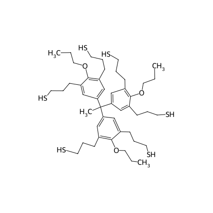 CCCOc1c(CCCS)cc(C(C)(c2cc(CCCS)c(OCCC)c(CCCS)c2)c2cc(CCCS)c(OCCC)c(CCCS)c2)cc1CCCS